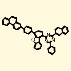 c1ccc(-c2nc(-c3ccc4ccccc4c3)nc(-c3ccc(-c4ccc(-c5ccc6c(ccc7ccccc76)c5)cc4)c4oc5ccccc5c34)n2)cc1